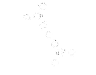 Cc1ccc(-c2cc(-c3ccccc3)cc(-c3ccc(-c4ccc(-c5ccc(-c6nc(-c7ccccc7)nc(-c7ccccc7)n6)cc5)cc4)cn3)n2)nc1